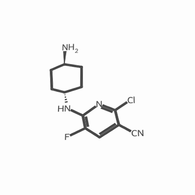 N#Cc1cc(F)c(N[C@H]2CC[C@H](N)CC2)nc1Cl